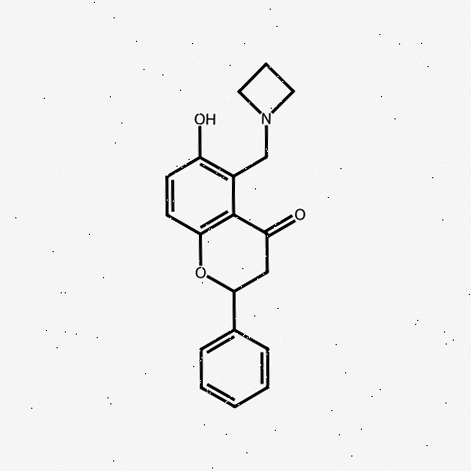 O=C1CC(c2ccccc2)Oc2ccc(O)c(CN3CCC3)c21